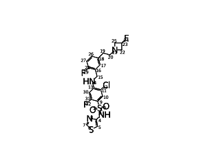 O=S(=O)(Nc1cscn1)c1cc(Cl)c(NCc2cc(CCN3CC(F)C3)ccc2F)cc1F